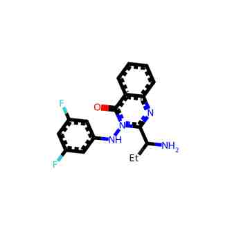 CCC(N)c1nc2ccccc2c(=O)n1Nc1cc(F)cc(F)c1